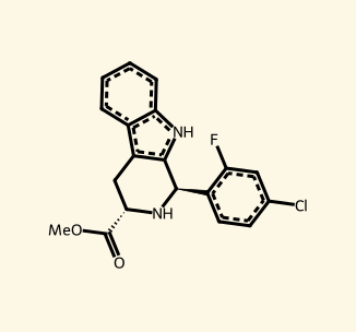 COC(=O)[C@@H]1Cc2c([nH]c3ccccc23)[C@@H](c2ccc(Cl)cc2F)N1